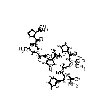 CNC1CCCC1C(=O)NC[C@H](CC(C)C)C(=O)NC1CNCC1C(=O)NC1CCCC1C(=O)N[C@H](CC(=O)N[C@H](CC(N)=O)Cc1ccccc1)C(C)C